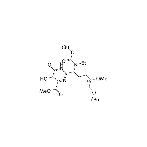 CCCCOC[C@H](CCC(c1nc(C(=O)OC)c(O)c(=O)[nH]1)N(CC)C(=O)OC(C)(C)C)OC